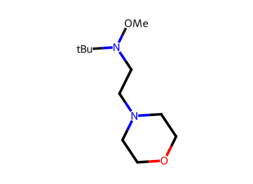 CON(CCN1CCOCC1)C(C)(C)C